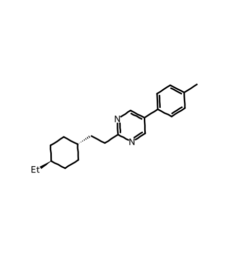 CC[C@H]1CC[C@H](CCc2ncc(-c3ccc(C)cc3)cn2)CC1